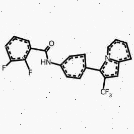 O=C(Nc1ccc(-c2c(C(F)(F)F)cc3ccccn23)cc1)c1cccc(F)c1F